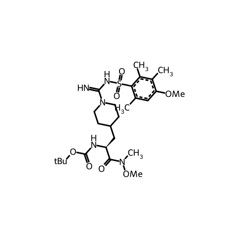 COc1cc(C)c(S(=O)(=O)NC(=N)N2CCC(C[C@H](NC(=O)OC(C)(C)C)C(=O)N(C)OC)CC2)c(C)c1C